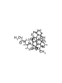 C=CC(=O)N1CC(C)N2c3c(c(=O)n(-c4c(C)ccnc4C(C)C)c4c(F)c(-c5c(O)cccc5F)c(F)cc34)OCCC2C1